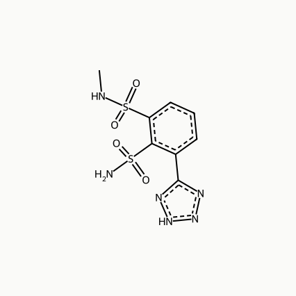 CNS(=O)(=O)c1cccc(-c2nn[nH]n2)c1S(N)(=O)=O